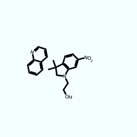 CC1(C)CN(CCO)c2cc([N+](=O)[O-])ccc21.c1ccc2ncccc2c1